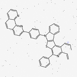 C=Cc1nc(-c2ccccc2)c2sc3c(c4ccccc4n3-c3ccc(-c4ccc5ccc6cccnc6c5n4)cc3)c2c1/C=C\C